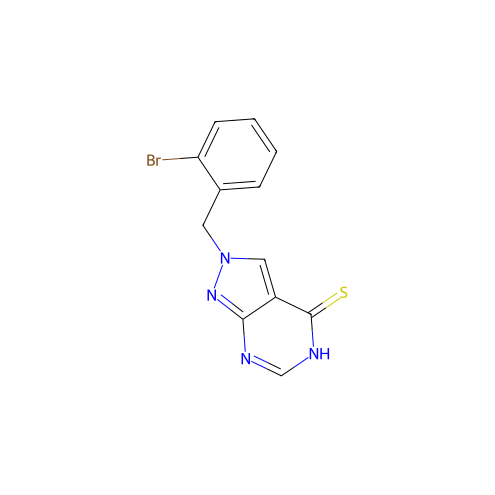 S=c1[nH]cnc2nn(Cc3ccccc3Br)cc12